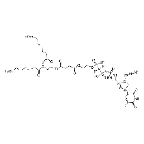 BP(=O)(OC[C@H]1O[C@@H](n2cc(C)c(=O)[nH]c2=O)C[C@H]1N=[N+]=[N-])OP(=O)(O)C(F)(F)P(=O)(O)OCCOC(=O)CCC(=O)OC(COC(=O)CCCCCCCCCCCCCCC)OC(=O)CCCCCCCCCCCCCCC